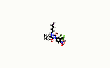 CC1(C)C(=O)N(c2ccc([N+](=O)[O-])c(C(F)(F)F)c2)C(=O)N1CCCCCI